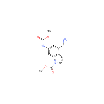 CC(C)(C)OC(=O)Nc1cc(CN)c2ccn(C(=O)OC(C)(C)C)c2c1